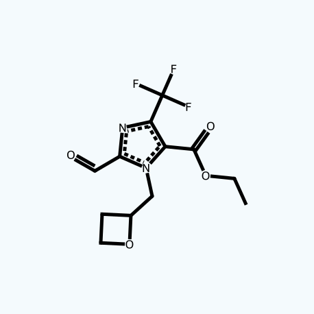 CCOC(=O)c1c(C(F)(F)F)nc(C=O)n1CC1CCO1